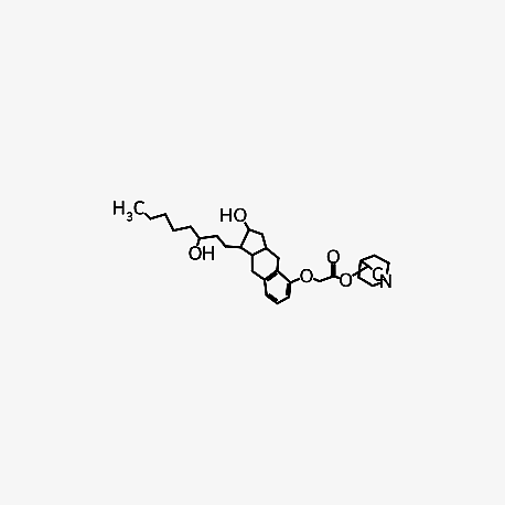 CCCCCC(O)CCC1C(O)CC2Cc3c(cccc3OCC(=O)OC3CN4CCC3CC4)CC21